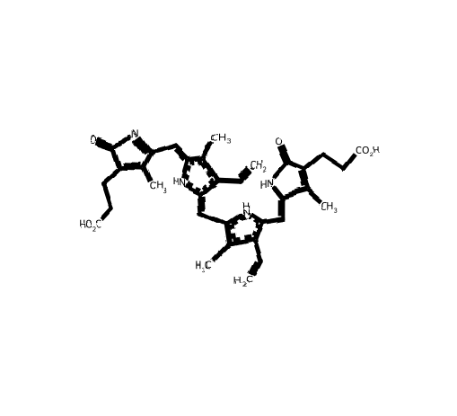 C=Cc1c(C=C2NC(=O)C(CCC(=O)O)=C2C)[nH]c(C=c2[nH]c(=CC3=NC(=O)C(CCC(=O)O)=C3C)c(C)c2C=C)c1C